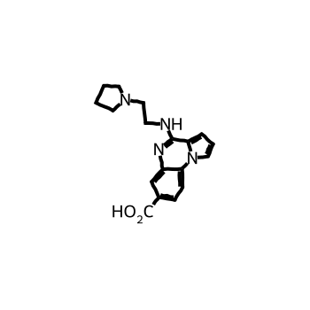 O=C(O)c1ccc2c(c1)nc(NCCN1CCCC1)c1cccn12